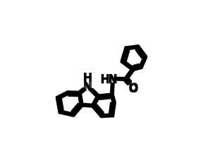 O=C(Nc1cccc2c1[nH]c1ccccc12)c1ccccc1